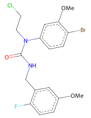 COc1ccc(F)c(CNC(=O)N(CCCl)c2ccc(Br)c(OC)c2)c1